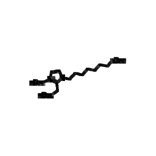 CCCCCCCCCCCCCCCCCn1cc[n+](CCCCCCCCCC)c1CCCCCCCCCCC